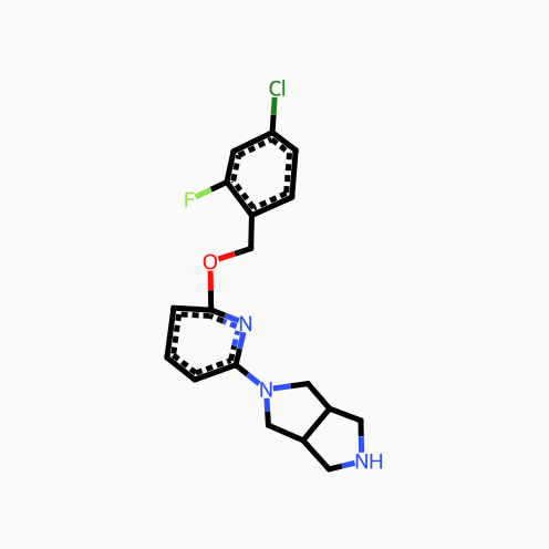 Fc1cc(Cl)ccc1COc1cccc(N2CC3CNCC3C2)n1